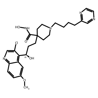 COc1ccc2ncc(Cl)c([C@H](O)CCC3(C(=O)NO)CCN(CCCCc4cnccn4)CC3)c2c1